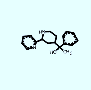 [CH2]C(O)(c1ccccc1)C1CCNC(c2ccccn2)C1